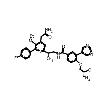 CCOc1c(CC(N)=O)cc([C@@H](CNC(=O)c2ccc(OC[C@@H](C)O)c(-c3cncnc3)c2)C(F)(F)F)nc1-c1ccc(F)cc1